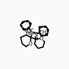 C[SiH](C)C1(C2([SiH](c3ccccc3)c3ccccc3)CCCCO2)CCCCO1